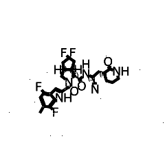 Cc1cc(F)c2cc(C(=O)N3C[C@H]4CC(F)(F)C[C@H]4[C@H]3C(=O)N[C@H](C#N)C[C@H]3CCCNC3=O)[nH]c2c1F